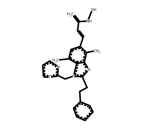 C=C(/C=C/c1cc(C)c2c(nc(CCc3ccccc3)n2Cc2ccccn2)c1C)NO